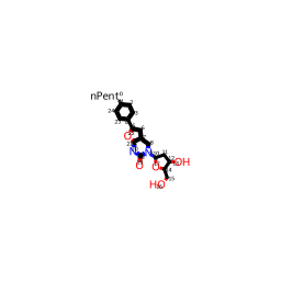 CCCCCc1ccc(-c2cc3cn(C4CC(O)C(CO)O4)c(=O)nc3o2)cc1